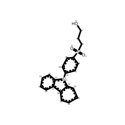 O=S(=O)(CCCO)c1ccc(-[s+]2c3ccccc3c3ccccc32)cc1